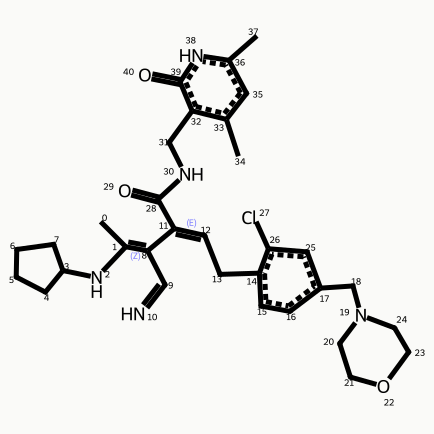 C/C(NC1CCCC1)=C(C=N)\C(=C/Cc1ccc(CN2CCOCC2)cc1Cl)C(=O)NCc1c(C)cc(C)[nH]c1=O